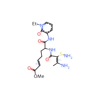 CCn1cccc(NC(=O)C(CC/C=C/C(=O)OC)NC(=O)/C(SN)=C(\C)N)c1=O